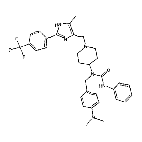 Cc1[nH]c(-c2ccc(C(F)(F)F)cc2)nc1CN1CCC(N(Cc2ccc(N(C)C)cc2)C(=O)Nc2ccccc2)CC1